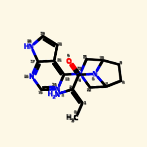 C/C=C(\N)C(=O)N1C2CCC1CN(c1ncnc3[nH]ccc13)C2